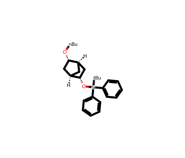 CCCCO[C@H]1C[C@H]2C[C@@H]1C[C@@H]2O[Si](c1ccccc1)(c1ccccc1)C(C)(C)C